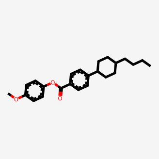 CCCCC1CCC(c2ccc(C(=O)Oc3ccc(OC)cc3)cc2)CC1